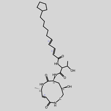 CC(O)C(NC(=O)/C=C/C=C/CCCCCC1CCCC1)C(=O)N[C@H]1C[C@@H](O)CCNC(=O)/C=C/[C@H](C)NC1=O